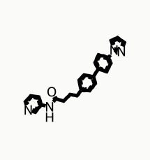 O=C(CCCc1ccc(-c2ccc(-n3cccn3)cc2)cc1)Nc1cccnc1